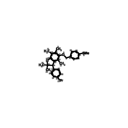 CSc1ccc(COc2c(C)c(C)c3c(c2C)C(c2ccc(C(C)C)cc2)C(C)(C)O3)cc1